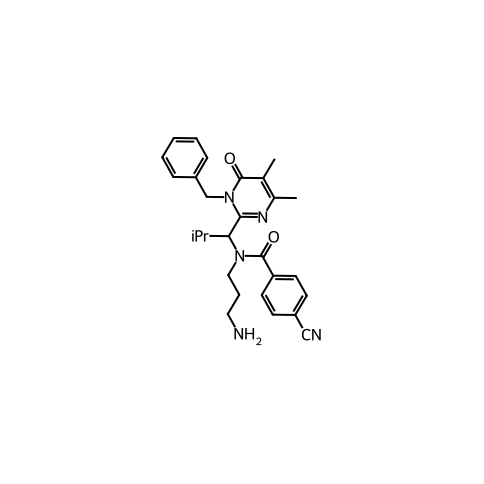 Cc1nc(C(C(C)C)N(CCCN)C(=O)c2ccc(C#N)cc2)n(Cc2ccccc2)c(=O)c1C